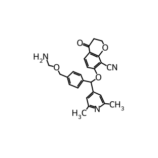 Cc1cc(C(Oc2ccc3c(c2C#N)OCCC3=O)c2ccc(COCN)cc2)cc(C)n1